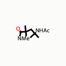 CNC(=O)C(C)(C)CC(C)(C)NC(C)=O